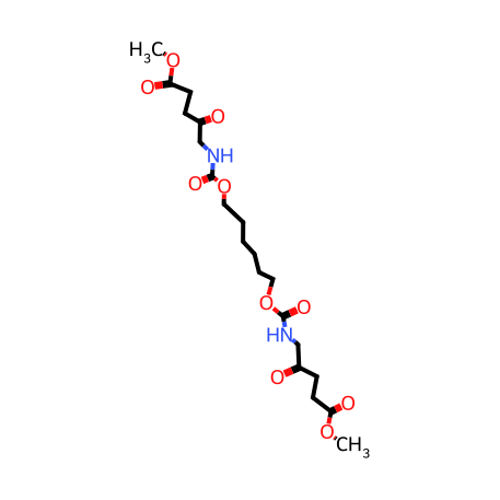 COC(=O)CCC(=O)CNC(=O)OCCCCCCOC(=O)NCC(=O)CCC(=O)OC